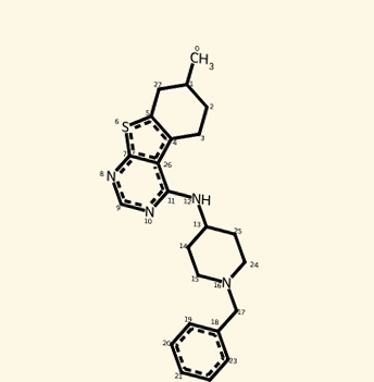 CC1CCc2c(sc3ncnc(NC4CCN(Cc5ccccc5)CC4)c23)C1